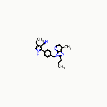 CCCc1nc2c(C)ccnc2n1Cc1ccc(-c2[nH]cc(CC)c2C#N)cc1